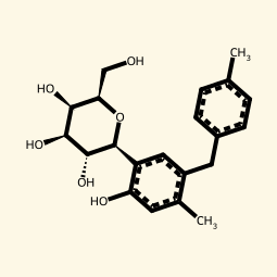 Cc1ccc(Cc2cc([C@@H]3O[C@H](CO)[C@H](O)[C@H](O)[C@H]3O)c(O)cc2C)cc1